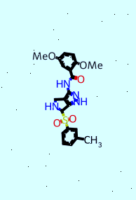 COc1ccc(OC)c(C(=O)Nc2n[nH]c3c2CNC3S(=O)(=O)c2cccc(C)c2)c1